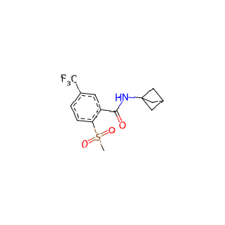 CS(=O)(=O)c1ccc(C(F)(F)F)cc1C(=O)NC12CC(C1)C2